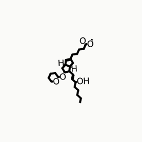 CCCCCC(O)C=CC1C(OC2CCCCO2)C[C@H]2C=C(CCCCC(=O)OC)C[C@H]12